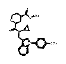 COc1ccc(-n2cc(CN(C(=O)C3CN(C(=O)OC(C)(C)C)CCO3)C3CC3)c3ccccc32)cc1